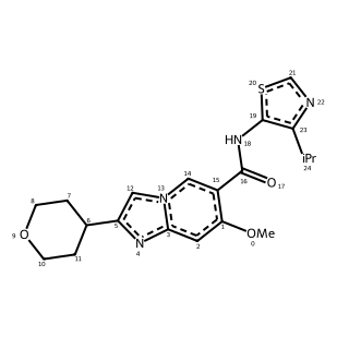 COc1cc2nc(C3CCOCC3)cn2cc1C(=O)Nc1scnc1C(C)C